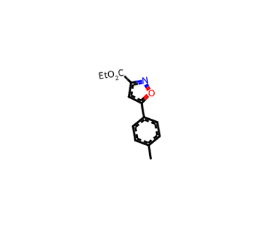 CCOC(=O)c1cc(-c2ccc(C)cc2)on1